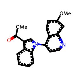 COC(=O)c1cn(-c2ccnc3cc(OC)ccc23)c2ccccc12